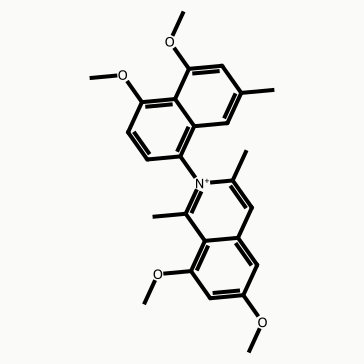 COc1cc(OC)c2c(C)[n+](-c3ccc(OC)c4c(OC)cc(C)cc34)c(C)cc2c1